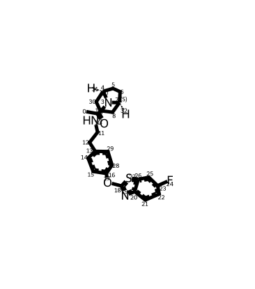 CC(=O)N1[C@@H]2CC[C@H]1CC(NCCc1ccc(Oc3nc4ccc(F)cc4s3)cc1)C2